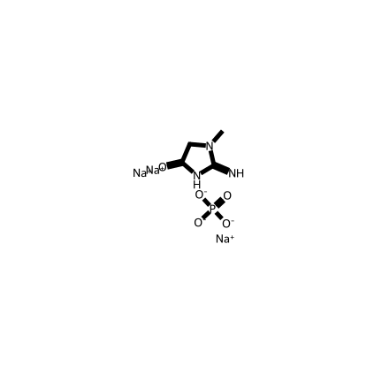 CN1CC(=O)NC1=N.O=P([O-])([O-])[O-].[Na+].[Na+].[Na+]